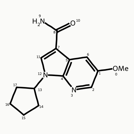 COc1cnc2c(c1)c(C(N)=O)cn2C1CCCC1